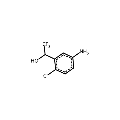 Nc1ccc(Cl)c(C(O)C(F)(F)F)c1